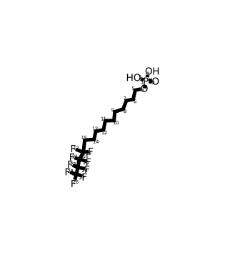 O=P(O)(O)OCCCCCCCCCCCC(F)(F)C(F)(F)C(F)(F)C(F)(F)F